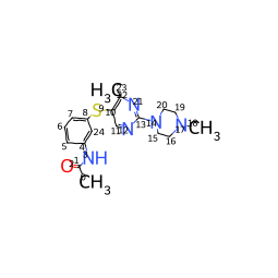 CC(=O)Nc1cccc(Sc2cnc(N3CCN(C)CC3)nc2C)c1